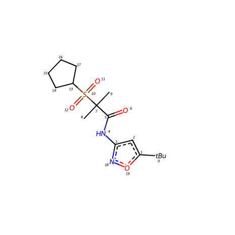 CC(C)(C)c1cc(NC(=O)C(C)(C)S(=O)(=O)C2CCCC2)no1